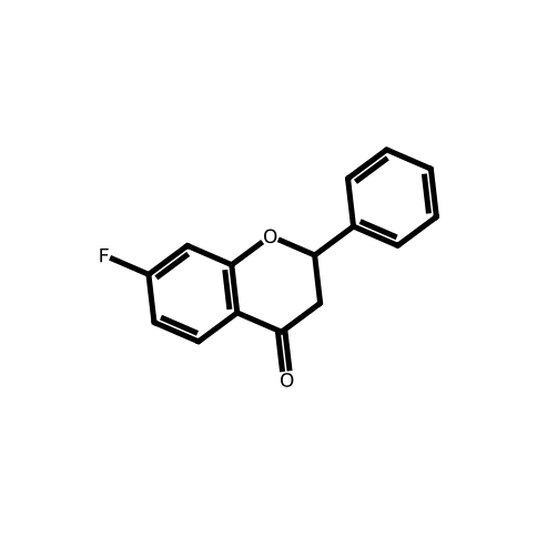 O=C1CC(c2ccccc2)Oc2cc(F)ccc21